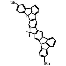 CC(C)(C)c1ccc2c(c1)c1cccc3c4cc5c(cc4n2c13)C(C)(C)c1cc2c(cc1-5)c1cccc3c4cc(C(C)(C)C)ccc4n2c31